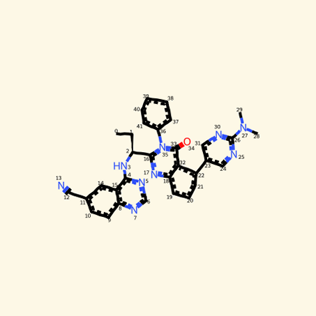 CC[C@H](Nc1ncnc2ccc(C#N)cc12)c1nc2cccc(-c3cnc(N(C)C)nc3)c2c(=O)n1-c1ccccc1